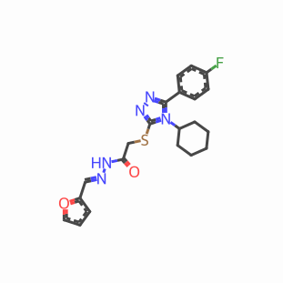 O=C(CSc1nnc(-c2ccc(F)cc2)n1C1CCCCC1)NN=Cc1ccco1